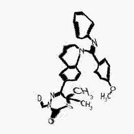 COc1ccc(/C(=N/c2ccccc2)N2CCCc3cc(C4=NN(C=O)C(=O)SC4(C)C)ccc32)cc1